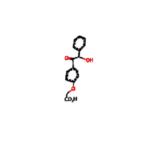 O=C(O)COc1ccc(C(=O)C(O)c2ccccc2)cc1